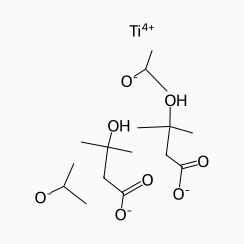 CC(C)(O)CC(=O)[O-].CC(C)(O)CC(=O)[O-].CC(C)[O-].CC(C)[O-].[Ti+4]